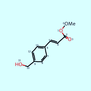 COOC(=O)C=Cc1ccc(CO)cc1